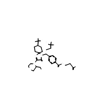 CCC1COCCN1C1=NC2(CCC(C(C)(C)C)CC2)N([C@H](CCC(C)(C)C)c2ccc(C(=O)NCCC(=O)O)cc2)C1=O